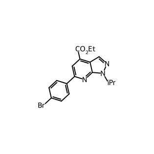 CCOC(=O)c1cc(-c2ccc(Br)cc2)nc2c1cnn2C(C)C